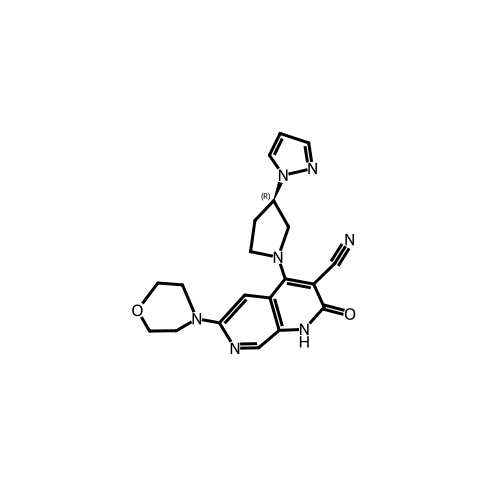 N#Cc1c(N2CC[C@@H](n3cccn3)C2)c2cc(N3CCOCC3)ncc2[nH]c1=O